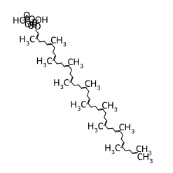 CC(C)=CCCC(C)=CCCC(C)=CCCC(C)=CCCC(C)=CCCC(C)=CCCC(C)=CCCC(C)=CCCC(C)=CCCC(C)=CCCC(C)=CCCC(C)=CCOP(=O)(O)OP(=O)(O)O